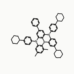 Cc1cc(C)c2c(c1)N(c1ccc(C3CCCCC3)cc1)c1cc(-c3ccccc3)cc3c1B2c1cc(C2CCCCC2)ccc1N3c1ccc(C2CCCCC2)cc1